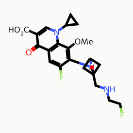 COc1c(N2CC3(CNCCF)CC2C3)c(F)cc2c(=O)c(C(=O)O)cn(C3CC3)c12